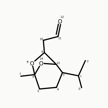 CC(C)C1CCC2(C)OC(CC=O)C1O2